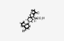 O=C(O)N[C@@H]1c2c(Cl)cnn2CC12CCN(c1ncc(Br)c3nccn13)CC2